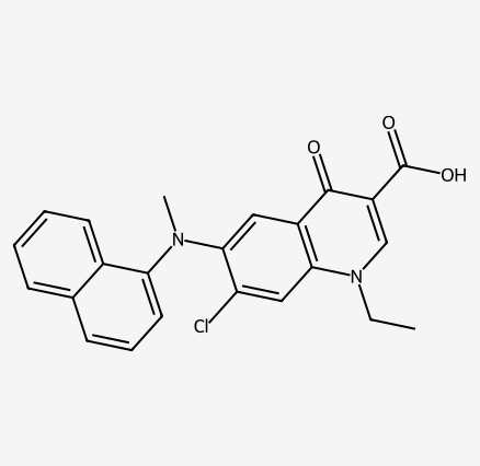 CCn1cc(C(=O)O)c(=O)c2cc(N(C)c3cccc4ccccc34)c(Cl)cc21